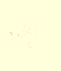 CCCCN(CCCC)C(=O)c1cc(C)n(-c2ccc(NC(=O)c3oc(C)nc3C)cc2C(=O)N2Cc3ccccc3C[C@H]2CO)n1